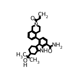 C=CC(=O)N1CCc2c(cccc2-c2ccc(C(N)=O)c3[nH]c4c(c23)CCC(C(C)(C)O)C4)C1